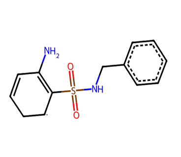 NC1=C(S(=O)(=O)NCc2ccccc2)[CH]CC=C1